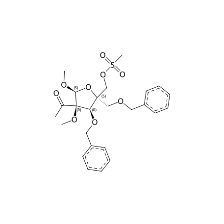 CO[C@H]1O[C@@](COCc2ccccc2)(COS(C)(=O)=O)[C@@H](OCc2ccccc2)[C@]1(OC)C(C)=O